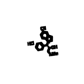 CNCC(O)[C@H](C1=CC=CCC1)n1ccc2cc(C#N)ccc21.Cl